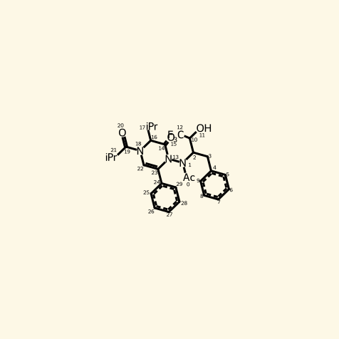 CC(=O)N(C(Cc1ccccc1)C(O)C(F)(F)F)N1C(=O)C(C(C)C)N(C(=O)C(C)C)C=C1c1ccccc1